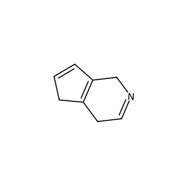 C1=CC2=C(C1)CC=NC2